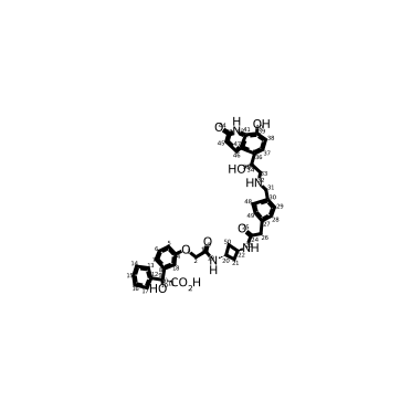 O=C(COc1cccc([C@](O)(C(=O)O)c2ccccc2)c1)N[C@H]1C[C@H](NC(=O)Cc2ccc(CNC[C@H](O)c3ccc(O)c4[nH]c(=O)ccc34)cc2)C1